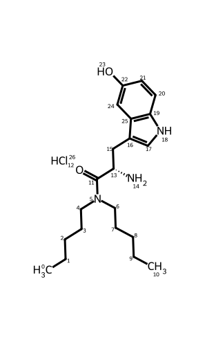 CCCCCN(CCCCC)C(=O)[C@@H](N)Cc1c[nH]c2ccc(O)cc12.Cl